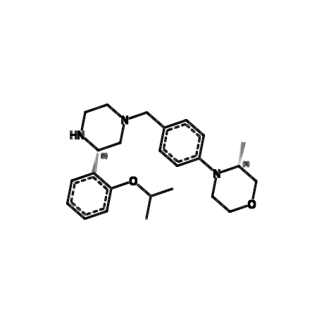 CC(C)Oc1ccccc1[C@H]1CN(Cc2ccc(N3CCOC[C@H]3C)cc2)CCN1